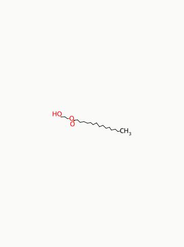 CCCCCCCCCCCCCCCC(=O)OCCCO